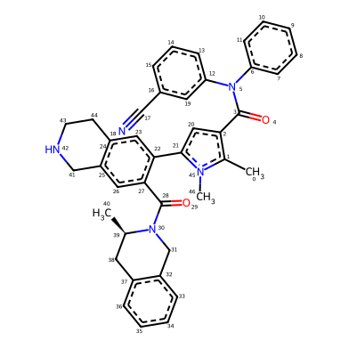 Cc1c(C(=O)N(c2ccccc2)c2cccc(C#N)c2)cc(-c2cc3c(cc2C(=O)N2Cc4ccccc4C[C@H]2C)CNCC3)n1C